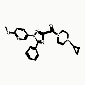 COc1ccc(-n2nc(C(=O)N3CCN(C4CC4)CC3)nc2-c2ccccc2)cn1